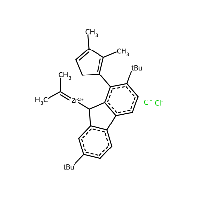 CC1=CCC(c2c(C(C)(C)C)ccc3c2[CH]([Zr+2]=[C](C)C)c2cc(C(C)(C)C)ccc2-3)=C1C.[Cl-].[Cl-]